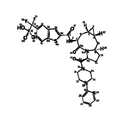 O=C(N[C@H]1C[C@@H]2C[C@@H]2C[C@H]2CC[C@@H](C(=O)N3CCN(c4ccccn4)CC3)N2C1=O)c1cc2cc(C(F)(F)P(=O)(O)O)ccc2s1